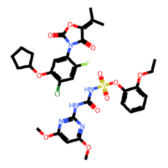 CC(C)=C1OC(=O)N(c2cc(OC3CCCC3)c(Cl)cc2F)C1=O.CCOc1ccccc1OS(=O)(=O)NC(=O)Nc1nc(OC)cc(OC)n1